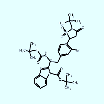 CC(C)(C)OC(=O)N[C@@H](Cc1ccc(C2CC(=O)N(C(C)(C)C)S2(=O)=O)c(Br)c1)c1nc2ccccc2n1C(=O)OC(C)(C)C